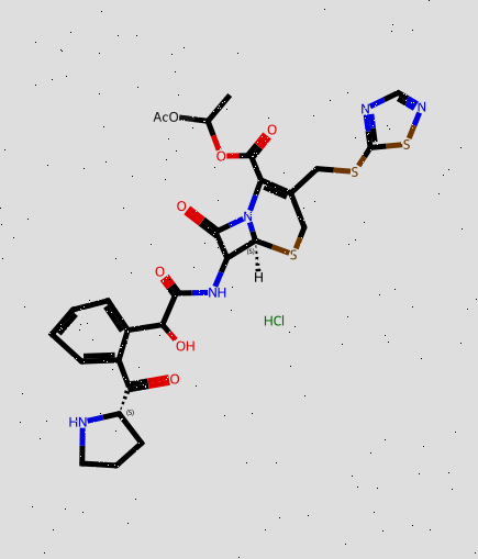 CC(=O)OC(C)OC(=O)C1=C(CSc2ncns2)CS[C@H]2C(NC(=O)C(O)c3ccccc3C(=O)[C@@H]3CCCN3)C(=O)N12.Cl